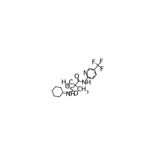 CC(C)(C(=O)Nc1ccc(C(F)(F)F)cn1)S(=O)(=O)NC1CCCCC1